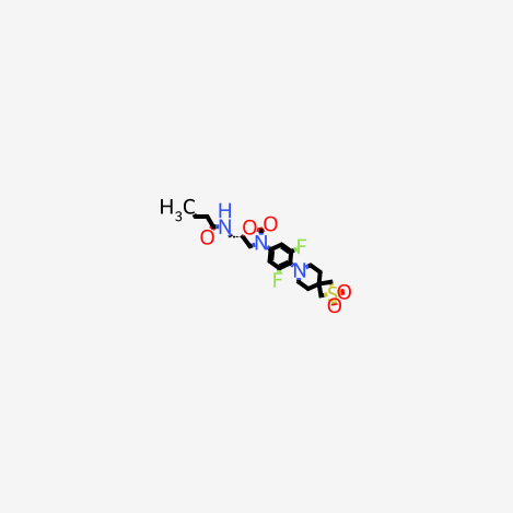 CCCC(=O)NC[C@H]1CN(c2cc(F)c(N3CCC4(CC3)CS(=O)(=O)C4)c(F)c2)C(=O)O1